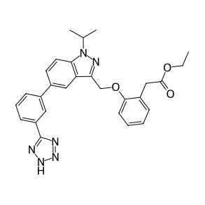 CCOC(=O)Cc1ccccc1OCc1nn(C(C)C)c2ccc(-c3cccc(-c4nn[nH]n4)c3)cc12